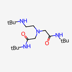 CC(C)(C)NCCN(CC(=O)NC(C)(C)C)CC(=O)NC(C)(C)C